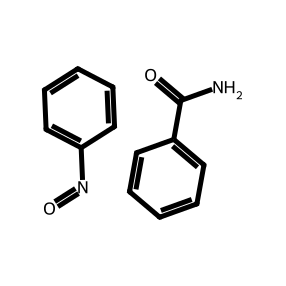 NC(=O)c1ccccc1.O=Nc1ccccc1